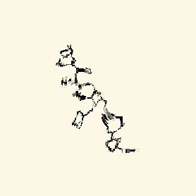 O=C(Nc1ccc2c(c1)nc(CN1CCC(c3cccc(O)n3)CC1)n2CC1CCO1)c1ccn2cncc2c1